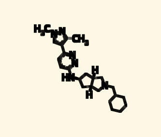 Cc1nn(C)cc1-c1ccc(N[C@H]2C[C@@H]3CN(CC4CCCCC4)C[C@@H]3C2)nn1